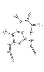 C=C(CCC)C(=O)OO.Cc1ccc(N=C=O)cc1N=C=O